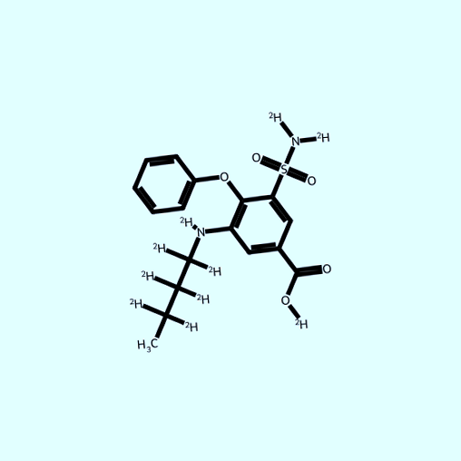 [2H]OC(=O)c1cc(N([2H])C([2H])([2H])C([2H])([2H])C([2H])([2H])C)c(Oc2ccccc2)c(S(=O)(=O)N([2H])[2H])c1